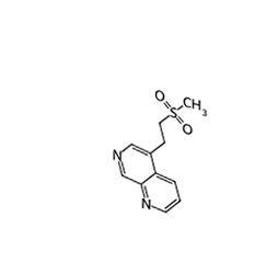 CS(=O)(=O)CCc1cncc2ncccc12